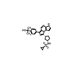 CC(C)(O)c1ccc(-c2nc([C@@H]3CC[C@H](NS(=O)(=O)C4CC4)C3)n3c2cnc2[nH]ccc23)cc1